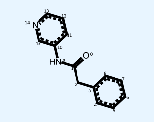 O=C(Cc1ccccc1)Nc1cc[c]nc1